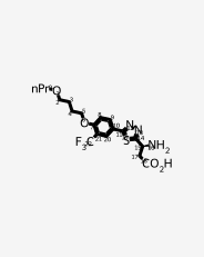 CCCOCCCCOc1ccc(-c2nnc([C@@H](N)CC(=O)O)s2)cc1C(F)(F)F